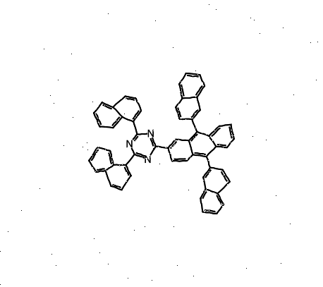 c1ccc2cc(-c3c4ccccc4c(-c4ccc5ccccc5c4)c4cc(-c5nc(-c6cccc7ccccc67)nc(-c6cccc7ccccc67)n5)ccc34)ccc2c1